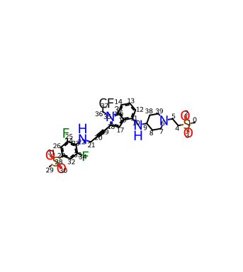 CS(=O)(=O)CCN1CCC(Nc2cccc3c2cc(C#CCNc2c(F)cc(S(C)(=O)=O)cc2F)n3CC(F)(F)F)CC1